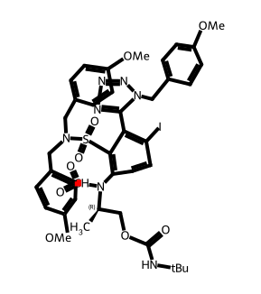 COc1ccc(CN(Cc2ccc(OC)cc2)S(=O)(=O)c2c(N([C@H](C)COC(=O)NC(C)(C)C)[SH](=O)=O)ccc(I)c2-c2nnnn2Cc2ccc(OC)cc2)cc1